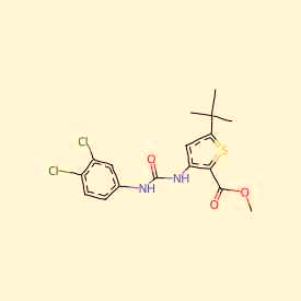 COC(=O)c1sc(C(C)(C)C)cc1NC(=O)Nc1ccc(Cl)c(Cl)c1